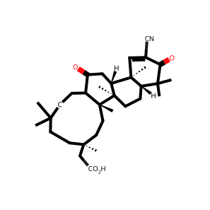 CC1(C)CCC2C(=O)C[C@@H]3[C@@]4(C)C=C(C#N)C(=O)C(C)(C)[C@@H]4CC[C@@]3(C)[C@]2(C)CC[C@@](C)(CC(=O)O)CC1